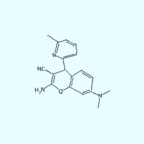 Cc1cccc(C2C(C#N)=C(N)Oc3cc(N(C)C)ccc32)n1